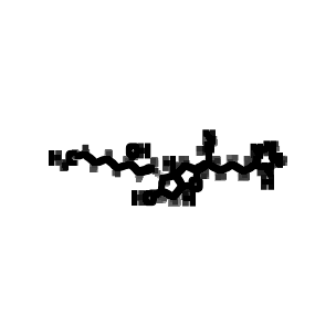 CCCCC[C@H](O)/C=C/[C@@H]1[C@H]2CC(=C(C#N)CCCc3nnn[nH]3)O[C@H]2C[C@H]1O